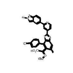 CCn1cc2cc(-c3cc(-c4nc5cc(C)c(C(OC(C)(C)C)C(=O)O)c(-c6ccc(Cl)cc6)c5s4)ccn3)ccc2n1